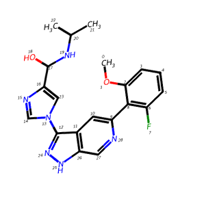 COc1cccc(F)c1-c1cc2c(-n3cnc(C(O)NC(C)C)c3)n[nH]c2cn1